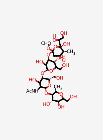 CC(=O)NC1C(O)[C@H](O[C@@H]2OC(CO)[C@H](O)[C@H](O[C@]3(OC=O)C[C@@H](O)[C@@H](C)[C@@](O)(C(O)CO)O3)C2O)[C@H](CO)O[C@H]1OC1[C@@H](O)[C@H](O)C(CO)O[C@@H]1C